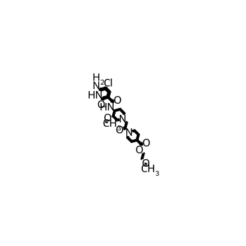 COCCOC(=O)C1CCN(C(=O)CN2CC[C@@H](NC(=O)c3cc(Cl)c(N)[nH]c3=O)[C@@H](OC)C2)CC1